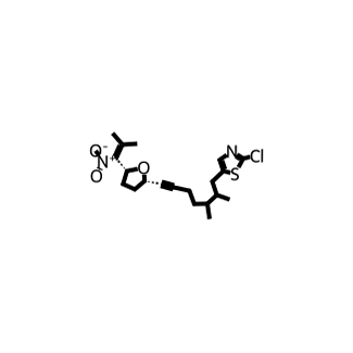 CC(C)=C([C@H]1CC[C@@H](C#CCCC(C)C(C)Cc2cnc(Cl)s2)O1)[N+](=O)[O-]